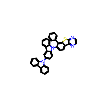 c1ccc(-c2c(-n3c4ccccc4c4cc(-n5c6ccccc6c6ccccc65)ccc43)ccc3c2sc2nccnc23)cc1